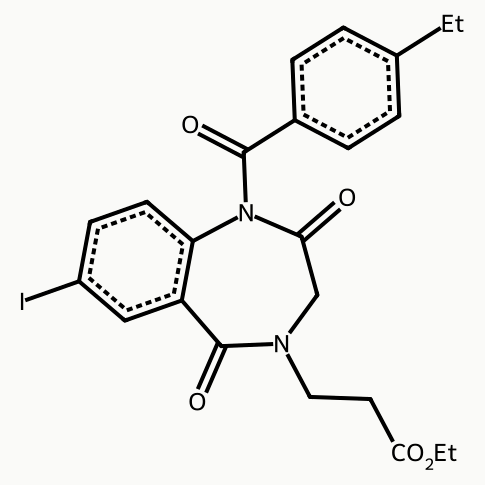 CCOC(=O)CCN1CC(=O)N(C(=O)c2ccc(CC)cc2)c2ccc(I)cc2C1=O